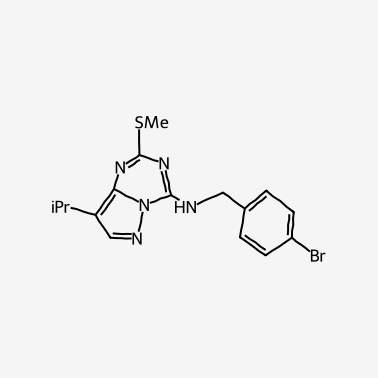 CSc1nc(NCc2ccc(Br)cc2)n2ncc(C(C)C)c2n1